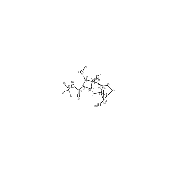 CON1C(=O)[C@H](CC23C4CC[C@@H]2[C@H]43)N1C(=O)OC(C)(C)C